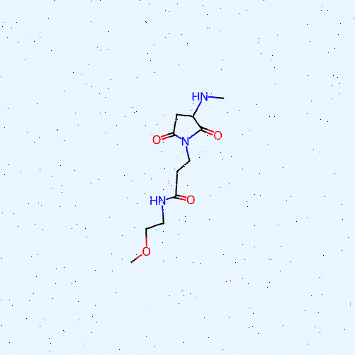 CNC1CC(=O)N(CCC(=O)NCCOC)C1=O